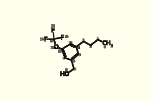 CCCCc1cc(CO)cc(OC(F)(F)F)c1